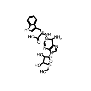 NC1c2ncn([C@H]3O[C@@H](CO)C(O)C3O)c2N=CN1N[C@H](Cc1c[nH]c2ccccc12)C(=O)O